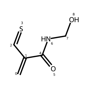 C=C(C=S)C(=O)NCO